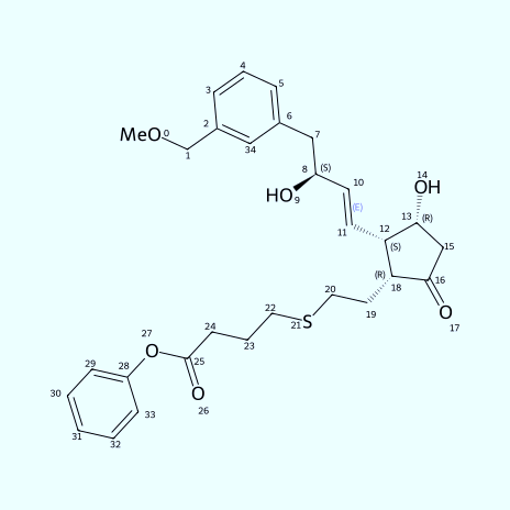 COCc1cccc(C[C@H](O)/C=C/[C@@H]2[C@H](O)CC(=O)[C@@H]2CCSCCCC(=O)Oc2ccccc2)c1